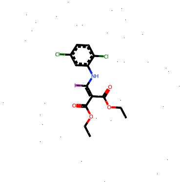 CCOC(=O)C(C(=O)OCC)=C(I)Nc1cc(Cl)ccc1Cl